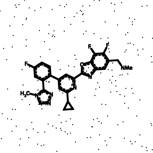 CNCc1cc2nc(-c3cc(-c4ccc(F)cc4-c4nncn4C)cc(C4CC4)n3)oc2c(F)c1F